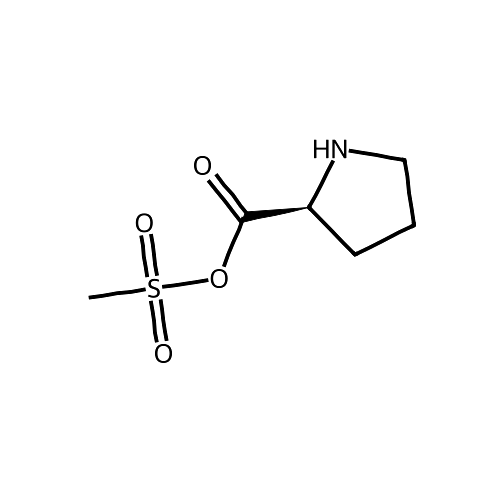 CS(=O)(=O)OC(=O)[C@@H]1CCCN1